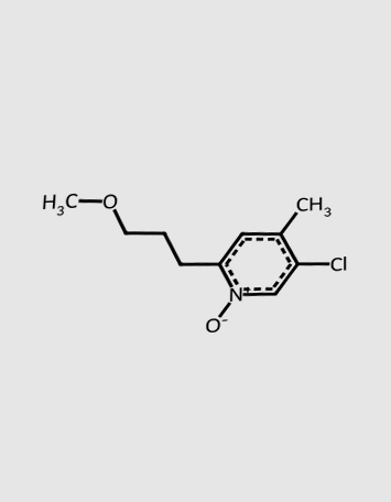 COCCCc1cc(C)c(Cl)c[n+]1[O-]